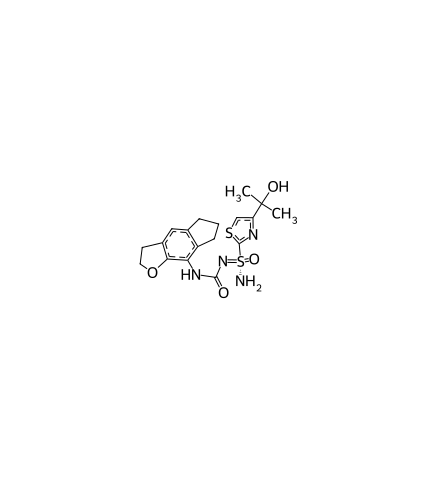 CC(C)(O)c1csc([S@@](N)(=O)=NC(=O)Nc2c3c(cc4c2OCC4)CCC3)n1